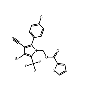 N#Cc1c(Br)c(C(F)(F)F)n(COC(=O)c2cccs2)c1-c1ccc(Cl)cc1